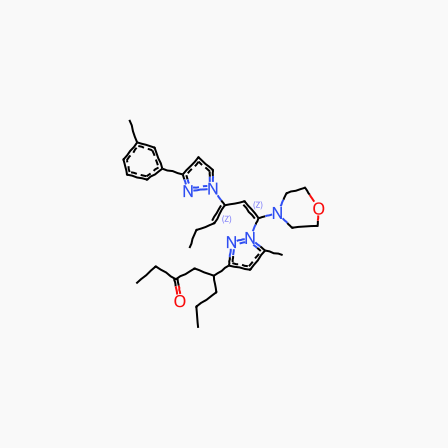 CC/C=C(/C=C(/N1CCOCC1)n1nc(C(CCC)CC(=O)CC)cc1C)n1ccc(-c2cccc(C)c2)n1